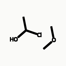 CC(O)Cl.COC